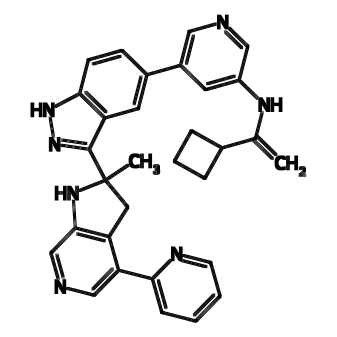 C=C(Nc1cncc(-c2ccc3[nH]nc(C4(C)Cc5c(cncc5-c5ccccn5)N4)c3c2)c1)C1CCC1